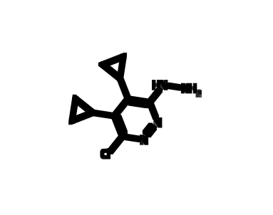 NNc1nnc(Cl)c(C2CC2)c1C1CC1